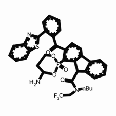 CCCCN(CC(F)(F)F)C(=O)C1c2ccccc2-c2ccc(C(=O)c3ccccc3-c3nc4ccccc4s3)c(P3(=O)OCCC(N)O3)c21